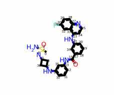 CS(N)(=O)=NC1CC(Nc2cccc(NC(=O)c3cccc(Nc4ccnc5ccc(F)cc45)c3)c2)C1